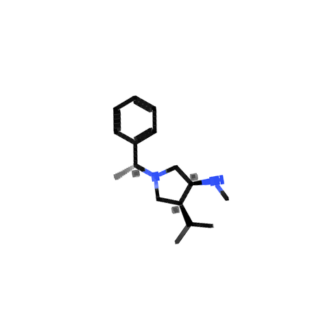 CN[C@@H]1CN([C@H](C)c2ccccc2)C[C@@H]1C(C)C